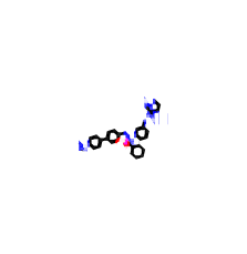 CN(C)c1ccc(-c2ccc(CN(C(=O)C3CCCCC3)c3cccc(CNc4cccnc4)c3)cc2)cc1